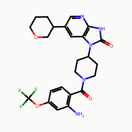 Nc1cc(OC(F)(F)F)ccc1C(=O)N1CCC(n2c(=O)[nH]c3ncc(C4CCCOC4)cc32)CC1